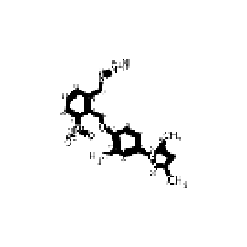 Cc1cc(C)n(-c2ccc(OCc3c(CN=[N+]=[N-])cccc3[N+](=O)[O-])c(C)c2)n1